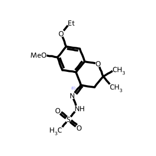 CCOc1cc2c(cc1OC)/C(=N/NS(C)(=O)=O)CC(C)(C)O2